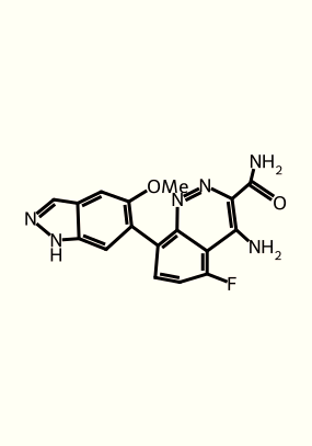 COc1cc2cn[nH]c2cc1-c1ccc(F)c2c(N)c(C(N)=O)nnc12